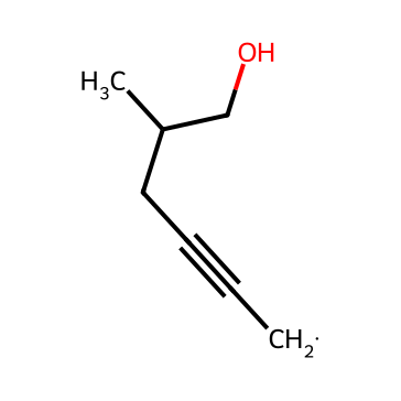 [CH2]C#CCC(C)CO